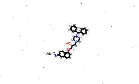 CON=C1CCc2c(cccc2OCC(O)CN2CCN(C(c3ccccc3)c3ccccc3)CC2)C1